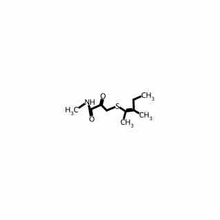 CC/C(C)=C(/C)SCC(=O)C(=O)NC